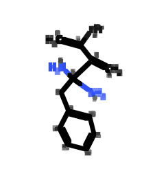 C=C(CCC)C(=C)C(N)(N)Cc1ccccc1